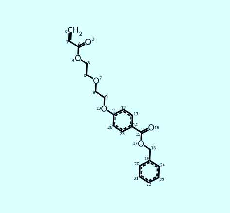 C=CC(=O)OCCOCCOc1ccc(C(=O)OCc2ccccc2)cc1